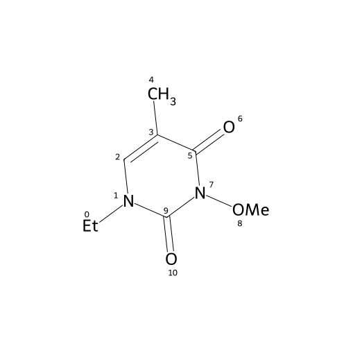 CCn1cc(C)c(=O)n(OC)c1=O